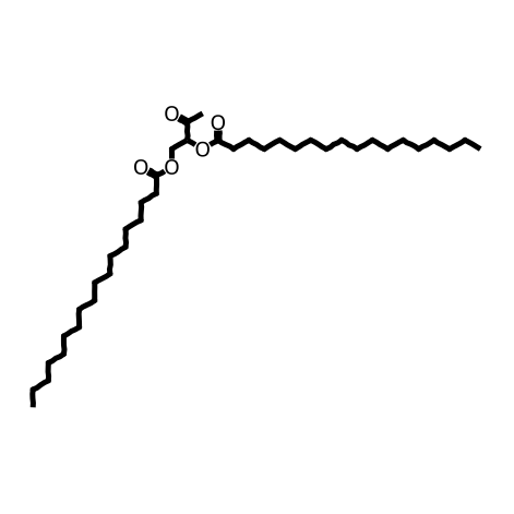 CCCCCCCCCCCCCCCCCC(=O)OCC(OC(=O)CCCCCCCCCCCCCCCCC)C(C)=O